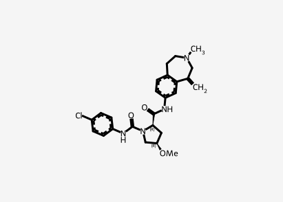 C=C1CN(C)CCc2ccc(NC(=O)[C@H]3C[C@@H](OC)CN3C(=O)Nc3ccc(Cl)cc3)cc21